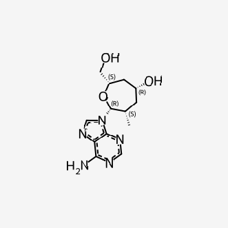 C[C@H]1C[C@@H](O)C[C@@H](CO)O[C@H]1n1cnc2c(N)ncnc21